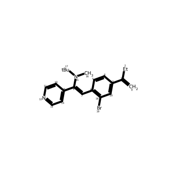 C=C(CC)c1ccc(/C=C(/c2ccncc2)N(C)C(C)(C)C)c(Br)c1